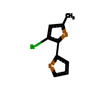 Cc1cc(Br)c(-c2cccs2)s1